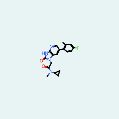 Cc1cc(F)ccc1-c1cnc2[nH]c(=O)n(CC(=O)N(C)C3CC3)c2c1